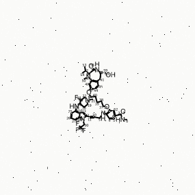 CNC(=O)c1ccc(NCC#Cc2cc3c(N[C@@H]4CCN(C)C[C@@H]4F)cccc3n2CC(F)(F)F)c(OCCCCCOc2ccc3c(c2)N(C)[C@@H](C(C)C)C(=O)N[C@H](CO)C3)c1